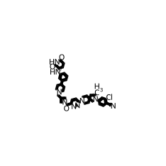 C[C@@H]1CC2(CCN(c3ccc(C(=O)N4CC(CN5CCC(c6cccc(N[C@@H]7CCC(=O)NC7=O)c6)CC5)C4)nn3)CC2)CN1c1ccc(C#N)c(Cl)c1